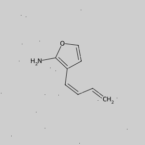 C=C/C=C\c1ccoc1N